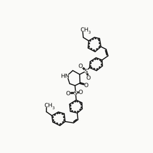 CCc1ccc(/C=C\c2ccc(S(=O)(=O)C3CNCC(S(=O)(=O)c4ccc(/C=C\c5ccc(CC)cc5)cc4)C3=O)cc2)cc1